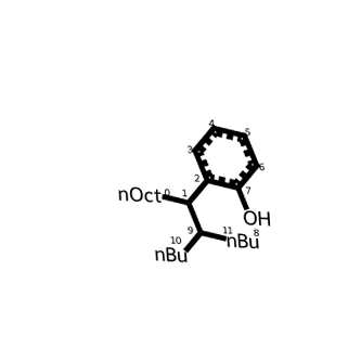 CCCCCCCCC(c1ccccc1O)C(CCCC)CCCC